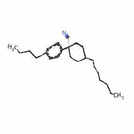 CCCCCCC[C@H]1CC[C@@](C#N)(c2ccc(CCCC)cc2)CC1